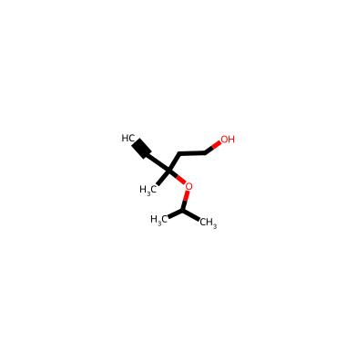 C#CC(C)(CCO)OC(C)C